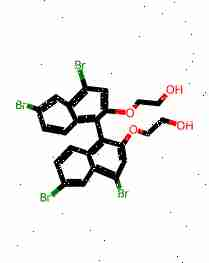 OCCOc1cc(Br)c2cc(Br)ccc2c1-c1c(OCCO)cc(Br)c2cc(Br)ccc12